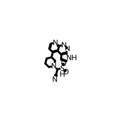 N#CC(N1CCCC(c2ccnc3nnc4[nH]ccc4c23)C1)[SH](=O)=O